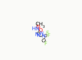 CCONC(=O)c1cnn2ccc(N3CC(F)(F)CC3c3cccc(F)c3)nc12